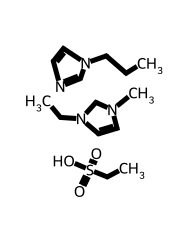 CCCn1ccnc1.CCN1C=CN(C)C1.CCS(=O)(=O)O